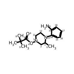 CC1CN(OC(=O)C(C)(C)C)CCN1c1ccccc1N